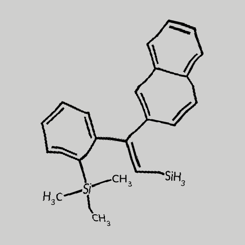 C[Si](C)(C)c1ccccc1C(=C[SiH3])c1ccc2ccccc2c1